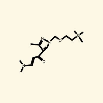 CN(C)C=CC(=O)c1cn(COCC[Si](C)(C)C)nc1I